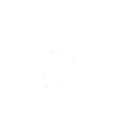 CN(C)CCn1cc(-c2ccc(F)c(F)c2)nc1C1CCN(c2ncnc3[nH]c(=O)n(C)c23)CC1